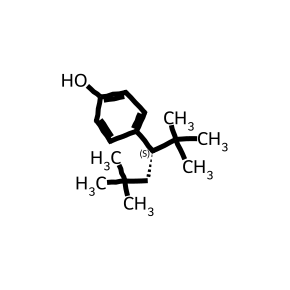 CC(C)(C)C[C@H](c1ccc(O)cc1)C(C)(C)C